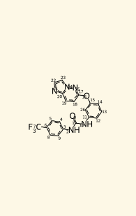 O=C(Nc1ccc(C(F)(F)F)cc1)Nc1cccc(Oc2ccc3nccn3n2)c1